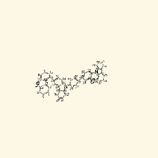 c1ccc2c(c1)sc1cccc(-c3ccc4c(c3)c3ccccc3n4-c3ccc(-c4ccc5c(c4)Oc4cccc6c7ccccc7n-5c46)cc3)c12